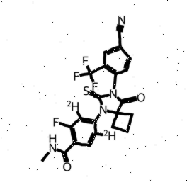 [2H]c1cc(C(=O)NC)c(F)c([2H])c1N1C(=S)N(c2ccc(C#N)cc2C(F)(F)F)C(=O)C12CCC2